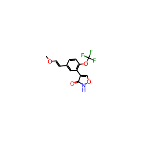 COC=Cc1ccc(OC(F)(F)F)c(-c2co[nH]c2=O)c1